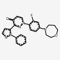 O=c1ccn(-c2ccc(N3CCCOCC3)cc2F)nc1-c1ccnn1-c1ccccc1